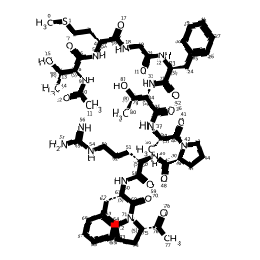 CSCC[C@H](NC(=O)[C@@H](NC(C)=O)[C@@H](C)O)C(=O)NCC(=O)N[C@@H](Cc1ccccc1)C(=O)N[C@H](C(=O)N[C@@H](C)C(=O)N1CCC[C@H]1C(=O)N[C@@H](CCCNC(=N)N)C(=O)N[C@@H](Cc1ccccc1)C(=O)N1CCC[C@H]1C(C)=O)[C@@H](C)O